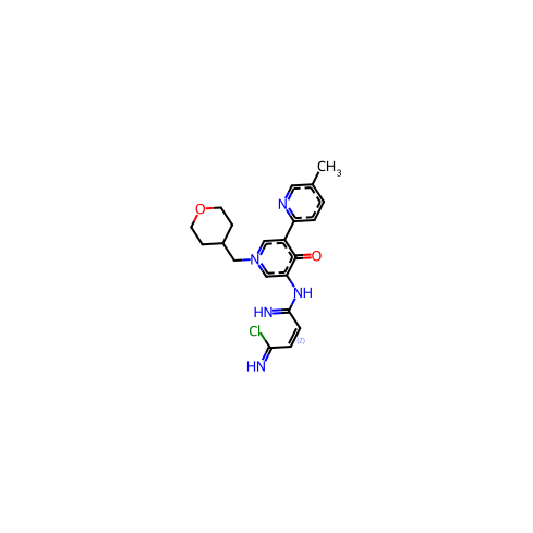 Cc1ccc(-c2cn(CC3CCOCC3)cc(NC(=N)/C=C\C(=N)Cl)c2=O)nc1